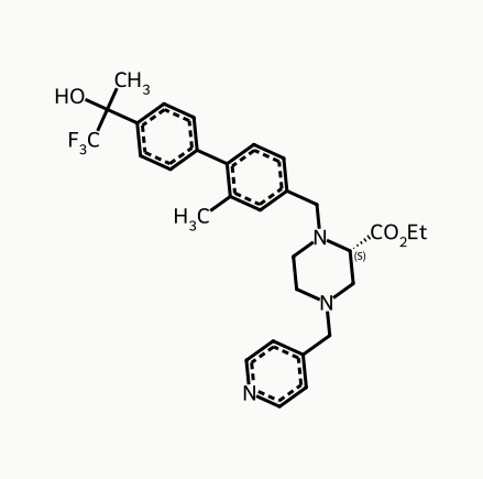 CCOC(=O)[C@@H]1CN(Cc2ccncc2)CCN1Cc1ccc(-c2ccc(C(C)(O)C(F)(F)F)cc2)c(C)c1